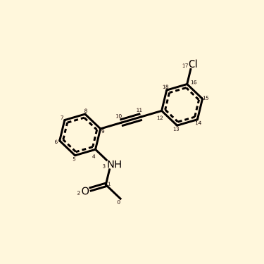 CC(=O)Nc1ccccc1C#Cc1cccc(Cl)c1